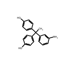 CC(c1ccc(O)cc1)(c1ccc(O)cc1)c1cccc(N)c1